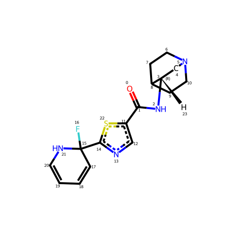 O=C(N[C@H]1CN2CCC1CC2)c1cnc(C2(F)C=CC=CN2)s1